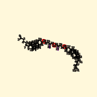 CC(C)CCC[C@@H](C)[C@H]1CC[C@H]2[C@@H]3CC=C4CC(OCCC(I)COCC(I)CCOC5CC[C@@]6(C)C(=CC[C@H]7[C@@H]8CC[C@H]([C@H](C)CCCC(C)C)[C@@]8(C)CC[C@@H]76)C5)CC[C@]4(C)[C@H]3CC[C@]12C